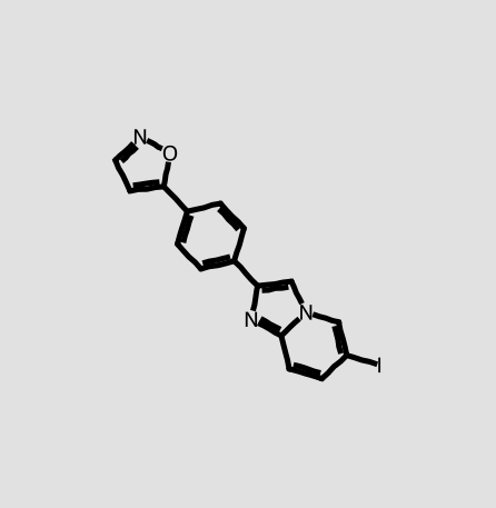 Ic1ccc2nc(-c3ccc(-c4ccno4)cc3)cn2c1